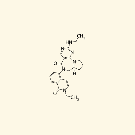 CCNc1ncc2c(n1)N1CCC[C@H]1CN(c1cccc3c(=O)n(CC)ccc13)C2=O